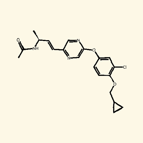 CC(=O)N[C@@H](C)/C=C/c1cnc(Oc2ccc(OCC3CC3)c(Cl)c2)cn1